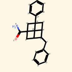 NC(=O)C12CC3C(Cc4ccccc4)C4CC(c5ccccc5)(C1)C342